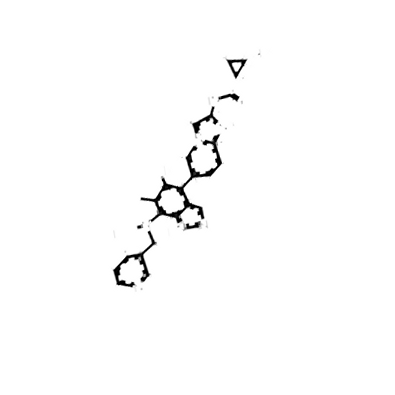 CN(Cc1cccnc1)c1c(F)c(Cl)c(-c2ccc3nc(NC(=O)[C@@H]4C[C@@H]4F)cn3c2)c2cn[nH]c12